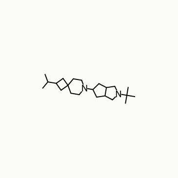 CC(C)C1CC2(CCN(C3CC4CN(C(C)(C)C)CC4C3)CC2)C1